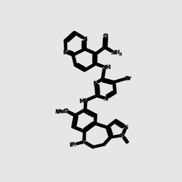 COc1cc2c(cc1Nc1ncc(Br)c(Nc3ccc4nccnc4c3C(N)=O)n1)-c1cnn(C)c1CCN2C(C)C